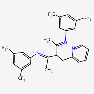 C/C(=N\c1cc(C(F)(F)F)cc(C(F)(F)F)c1)C(Cc1ccccn1)/C(C)=N/c1cc(C(F)(F)F)cc(C(F)(F)F)c1